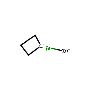 [CH-]1CCC1.[Zn+][Br]